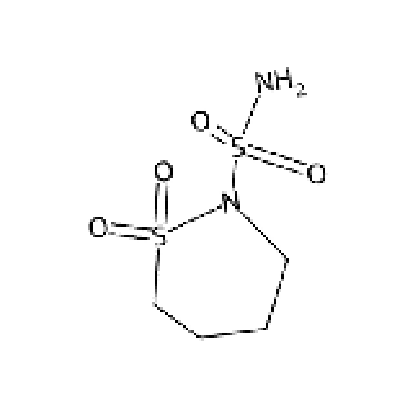 NS(=O)(=O)N1CCCCS1(=O)=O